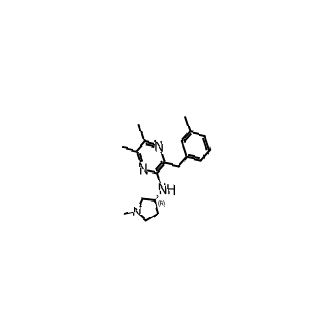 Cc1cccc(Cc2nc(C)c(C)nc2N[C@@H]2CCN(C)C2)c1